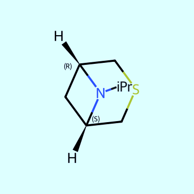 CC(C)N1[C@@H]2CSC[C@H]1C2